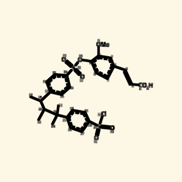 COc1cc(/C=C/C(=O)O)ccc1OS(=O)(=O)c1ccc(C(C)C(C)C(C)(C)c2ccc(S(=O)(=O)Cl)cc2)cc1